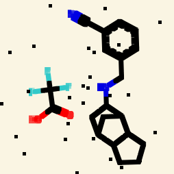 N#Cc1cccc(CNC2CC3CC2C2CCCC32)c1.O=C(O)C(F)(F)F